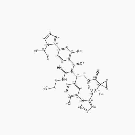 CC(C)(C)CCNC(=N)N(C(=O)c1ccc(-c2nncn2C(F)F)cc1F)[C@H](COC(=O)C1(C(F)(F)F)CC1)c1ccc(Cl)c(-n2ncnc2C(F)F)c1